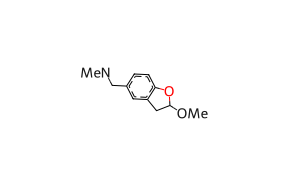 CNCc1ccc2c(c1)CC(OC)O2